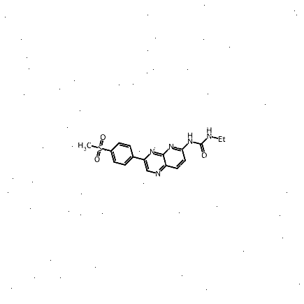 CCNC(=O)Nc1ccc2ncc(-c3ccc(S(C)(=O)=O)cc3)nc2n1